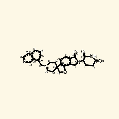 O=C1CCC(N2Cc3c(ccc4c3OCC43CCN(Cc4cccc5ccncc45)CC3)C2=O)C(=O)N1